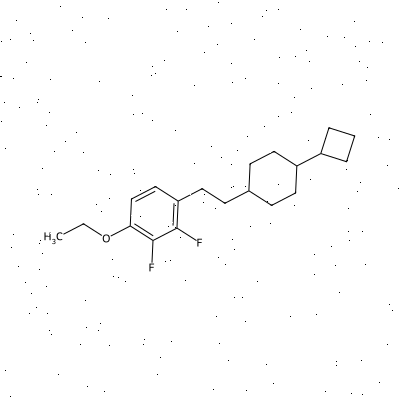 CCOc1ccc(CCC2CCC(C3CCC3)CC2)c(F)c1F